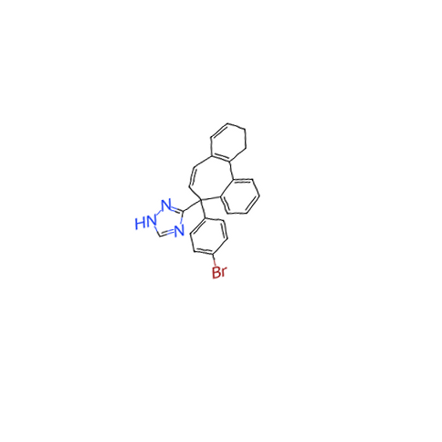 Brc1ccc(C2(c3nc[nH]n3)C=CC3=C(CCC=C3)c3ccccc32)cc1